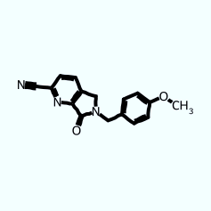 COc1ccc(CN2Cc3ccc(C#N)nc3C2=O)cc1